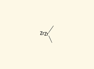 [CH3][Zr][CH3].[Zr]